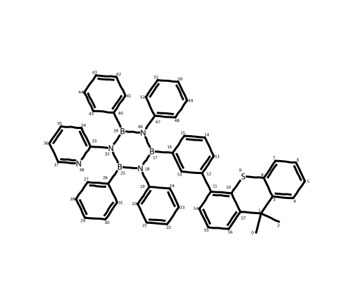 CC1(C)c2ccccc2Sc2c(-c3cccc(B4N(c5ccccc5)B(c5ccccc5)N(c5ccccn5)B(c5ccccc5)N4c4ccccc4)c3)cccc21